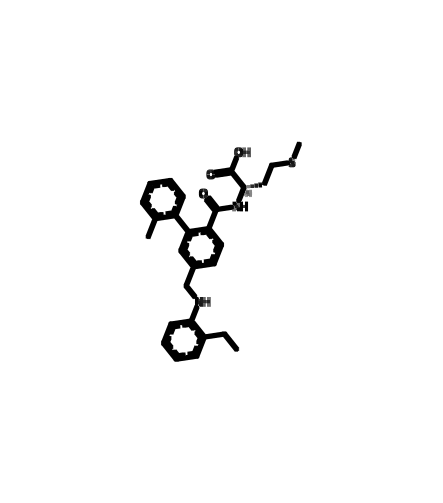 CCc1ccccc1NCc1ccc(C(=O)N[C@@H](CCSC)C(=O)O)c(-c2ccccc2C)c1